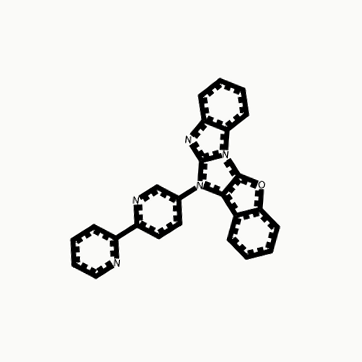 c1ccc(-c2ccc(-n3c4c5ccccc5oc4n4c5ccccc5nc34)cn2)nc1